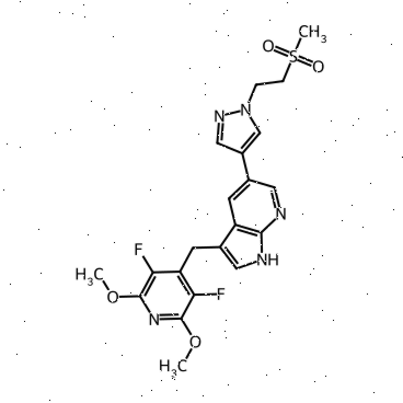 COc1nc(OC)c(F)c(Cc2c[nH]c3ncc(-c4cnn(CCS(C)(=O)=O)c4)cc23)c1F